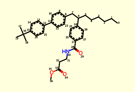 CCCCCCC(Cc1ccc(-c2ccc(C(C)(C)C)cc2)cc1)c1ccc(C(=O)NCCC(=O)OC)cc1